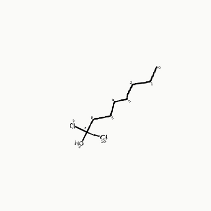 CCCCCCCC(O)(Cl)Cl